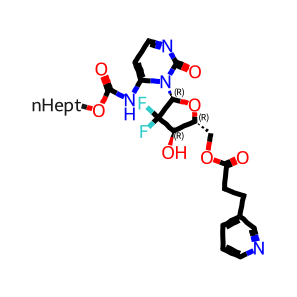 CCCCCCCOC(=O)Nc1ccnc(=O)n1[C@@H]1O[C@H](COC(=O)CCc2cccnc2)[C@@H](O)C1(F)F